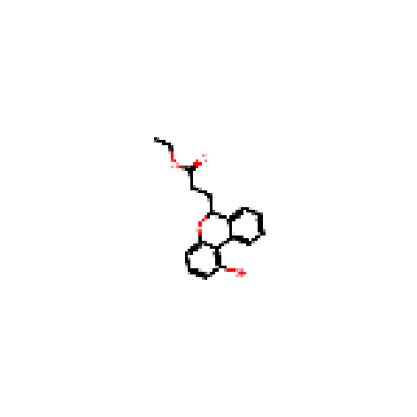 CCOC(=O)CCC1Oc2cccc(O)c2-c2ccccc21